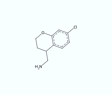 NCC1CCOc2cc(Cl)ccc21